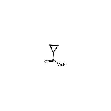 O=C([AsH])C1CC1